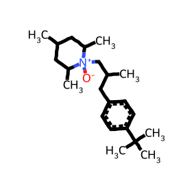 CC1CC(C)[N+]([O-])(CC(C)Cc2ccc(C(C)(C)C)cc2)C(C)C1